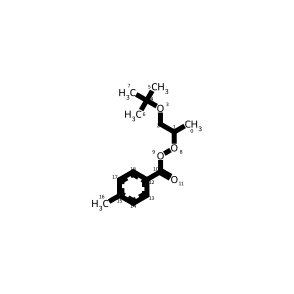 C[C](COC(C)(C)C)OOC(=O)c1ccc(C)cc1